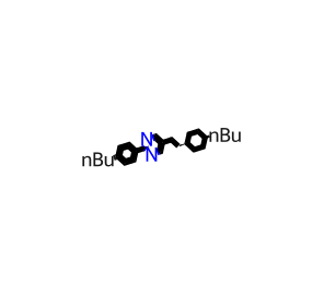 CCCCc1ccc(-c2ncc(CC[C@H]3CC[C@H](CCCC)CC3)cn2)cc1